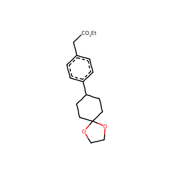 CCOC(=O)Cc1ccc(C2CCC3(CC2)OCCO3)cc1